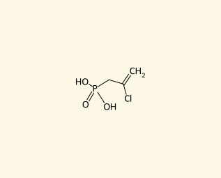 C=C(Cl)CP(=O)(O)O